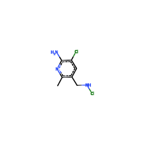 Cc1nc(N)c(Cl)cc1CNCl